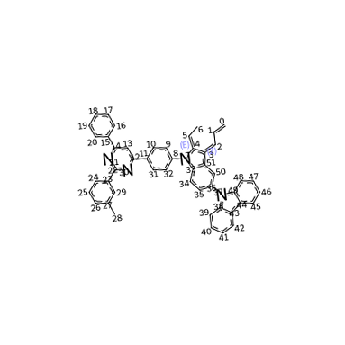 C=C/C=c1\c(=C/C)n(-c2ccc(-c3cc(-c4ccccc4)nc(-c4cccc(C)c4)n3)cc2)c2ccc(-n3c4ccccc4c4ccccc43)cc12